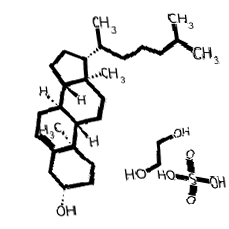 CC(C)CCCC(C)[C@H]1CC[C@H]2[C@@H]3CC=C4C[C@@H](O)CC[C@]4(C)[C@H]3CC[C@]12C.O=S(=O)(O)O.OCCO